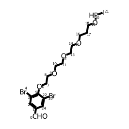 O=Cc1cc(Br)c(OCCOCCOCCOCCCOPI)c(Br)c1